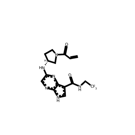 C=CC(=O)N1CC[C@@H](Nc2cnc3[nH]cc(C(=O)NCC(F)(F)F)c3n2)C1